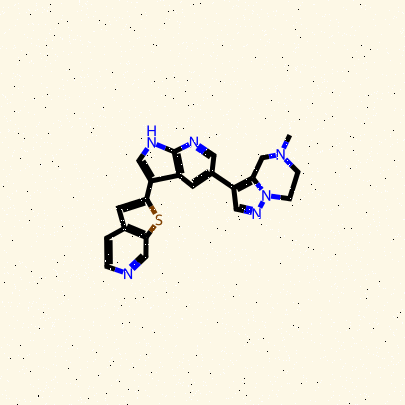 CN1CCn2ncc(-c3cnc4[nH]cc(-c5cc6ccncc6s5)c4c3)c2C1